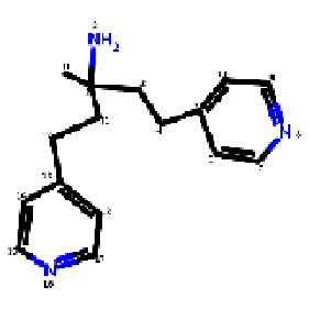 CC(N)(CCc1ccncc1)CCc1ccncc1